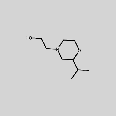 CC(C)C1CN(CCO)CCO1